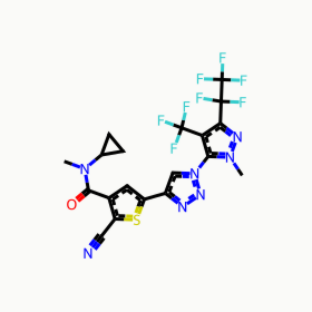 CN(C(=O)c1cc(-c2cn(-c3c(C(F)(F)F)c(C(F)(F)C(F)(F)F)nn3C)nn2)sc1C#N)C1CC1